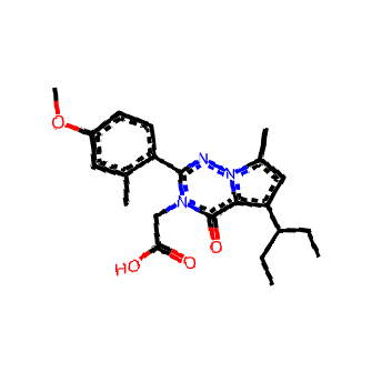 CCC(CC)c1cc(C)n2nc(-c3ccc(OC)cc3C)n(CC(=O)O)c(=O)c12